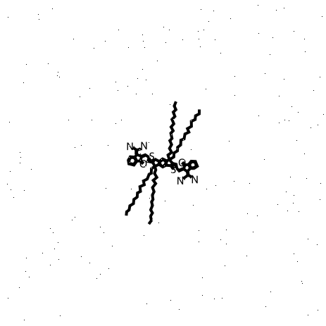 CCCCCCCCCCCCCCCCC1(CCCCCCCCCCCCCCCC)c2cc3c(cc2-c2sc(/C=C4\C(=O)c5ccccc5C4=C(C#N)C#N)cc21)C(CCCCCCCCCCCCCCCC)(CCCCCCCCCCCCCCCC)c1cc(/C=C2\C(=O)c4ccccc4C2=C(C#N)C#N)sc1-3